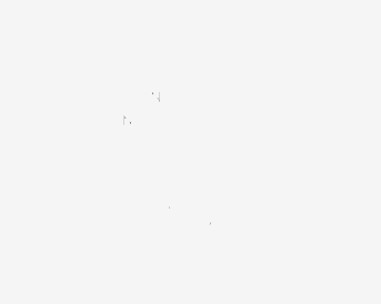 C1=Cc2cccc3cnnc(c23)C1